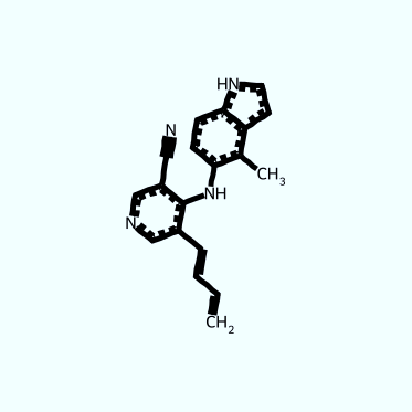 C=CC=Cc1cncc(C#N)c1Nc1ccc2[nH]ccc2c1C